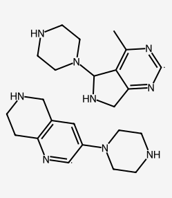 Cc1n[c]nc2c1C(N1CCNCC1)NC2.[c]1nc2c(cc1N1CCNCC1)CNCC2